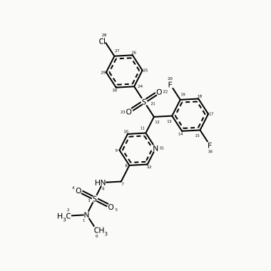 CN(C)S(=O)(=O)NCc1ccc(C(c2cc(F)ccc2F)S(=O)(=O)c2ccc(Cl)cc2)nc1